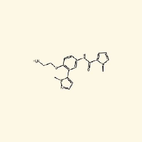 Cn1cccc1C(=O)Nc1ccc(OCCN)c(-c2ccnn2C)c1